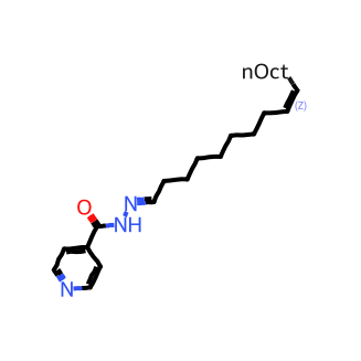 CCCCCCCC/C=C\CCCCCCCC=NNC(=O)c1ccncc1